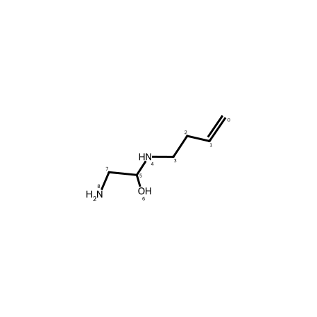 C=CCCNC(O)CN